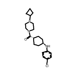 O=C([C@H]1CC[C@H](Nc2ccc(Cl)cc2)CC1)N1CCN(C2CCC2)CC1